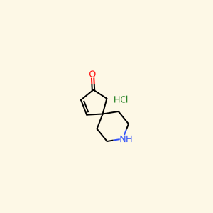 Cl.O=C1C=CC2(CCNCC2)C1